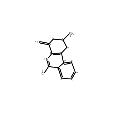 CC(C)(C)C1CC(=O)c2nc(Cl)c3ccccc3c2C1